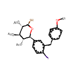 CCOc1ccc(Cc2cc([C@@H]3O[C@H](S)[C@@H](OC(C)=O)[C@H](OC(C)=O)[C@H]3OC(C)=O)ccc2I)cc1